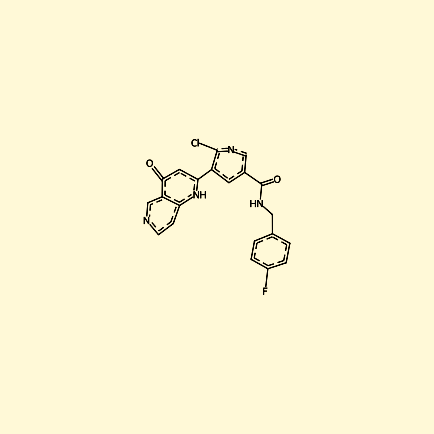 O=C(NCc1ccc(F)cc1)c1cnc(Cl)c(-c2cc(=O)c3cnccc3[nH]2)c1